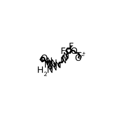 CN(CCN1CCN(c2cc(OCC[S@@+](C)[O-])c(F)cc2F)CC1)c1nc(N)n2nc(-c3ccco3)nc2n1